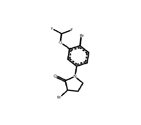 O=C1C(Br)CCN1c1ccc(Br)c(OC(F)F)c1